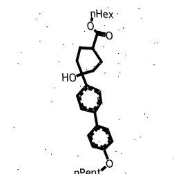 CCCCCCOC(=O)C1CCC(O)(c2ccc(-c3ccc(OCCCCC)cc3)cc2)CC1